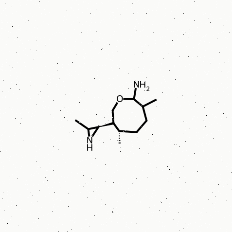 CC1CC[C@H](C)C([C@H]2NC2C)COC1N